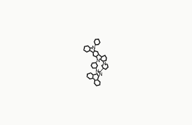 c1ccc(-n2c3ccccc3c3cc4c(cc32)c2ccccc2n4-c2cccc(-n3c(-c4cccnc4)nc4c5ccccc5c5ccccc5c43)c2)cc1